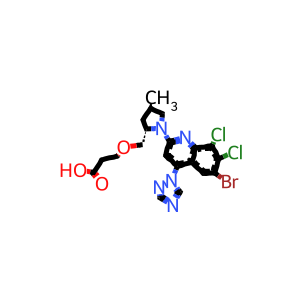 C[C@H]1C[C@@H](COCCC(=O)O)N(c2cc(-n3cncn3)c3cc(Br)c(Cl)c(Cl)c3n2)C1